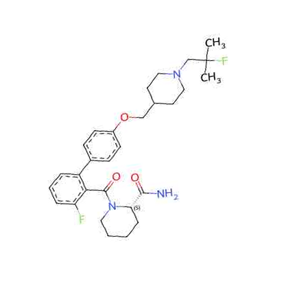 CC(C)(F)CN1CCC(COc2ccc(-c3cccc(F)c3C(=O)N3CCCC[C@H]3C(N)=O)cc2)CC1